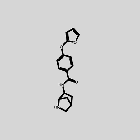 O=C(NC1CC2CNC1C2)c1ccc(Oc2ccco2)cc1